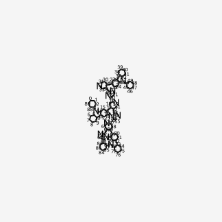 c1ccc(-n2c3ccccc3c3cc4c(cc32)c2cc(-c3cn5c6cc7c(cc6c6ccncc6c5n3)c3ccccc3n7-c3ccccc3)ncc2c2ncc(-c3cc5c(cn3)c3nccn3c3c5ccc5c6ccccc6n(-c6ccccc6)c53)n42)cc1